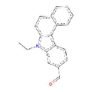 CCn1c2cc(C=O)ccc2c2c3ccccc3ccc21